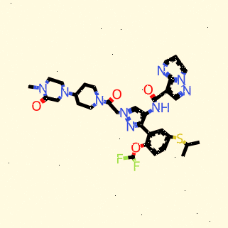 CC(C)Sc1ccc(OC(F)F)c(-c2nn(CC(=O)N3CCC(N4CCN(C)C(=O)C4)CC3)cc2NC(=O)c2cnn3cccnc23)c1